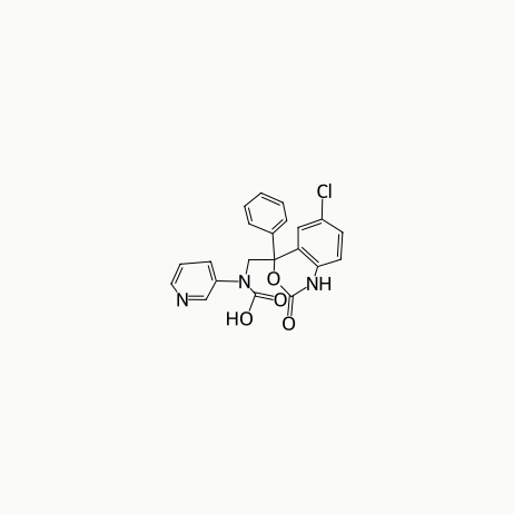 O=C1Nc2ccc(Cl)cc2C(CN(C(=O)O)c2cccnc2)(c2ccccc2)O1